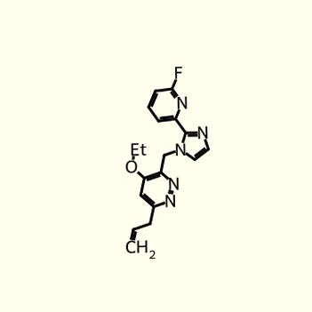 C=CCc1cc(OCC)c(Cn2ccnc2-c2cccc(F)n2)nn1